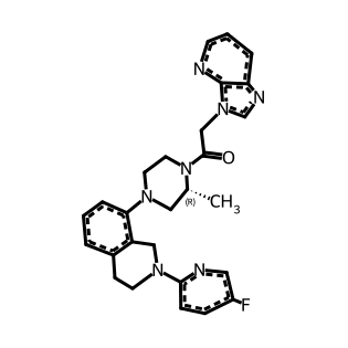 C[C@@H]1CN(c2cccc3c2CN(c2ccc(F)cn2)CC3)CCN1C(=O)Cn1cnc2cccnc21